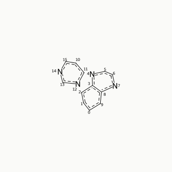 c1ccc2nccnc2c1.c1cncnc1